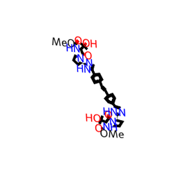 COC(=O)N[C@H](C(=O)N1CCC[C@H]1c1ncc(-c2ccc(C#Cc3ccc(-c4cnc([C@@H]5CCCN5C(=O)[C@@H](NC(=O)OC)C(C)(C)O)[nH]4)cc3)cc2)[nH]1)C(C)(C)O